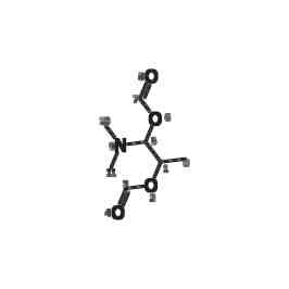 CC(OC=O)C(OC=O)N(C)C